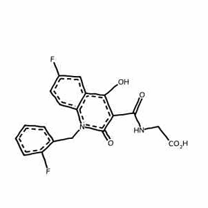 O=C(O)CNC(=O)c1c(O)c2cc(F)ccc2n(Cc2ccccc2F)c1=O